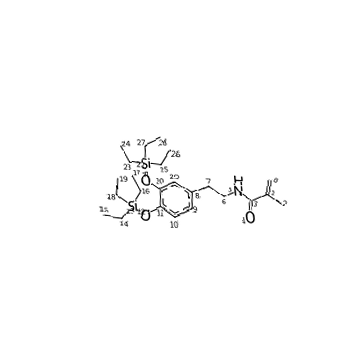 C=C(C)C(=O)NCCc1ccc(O[Si](CC)(CC)CC)c(O[Si](CC)(CC)CC)c1